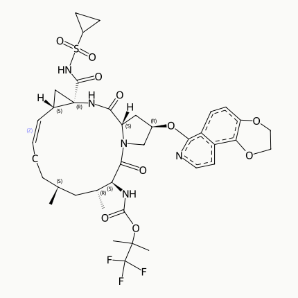 C[C@H]1CC/C=C\[C@@H]2C[C@@]2(C(=O)NS(=O)(=O)C2CC2)NC(=O)[C@@H]2C[C@@H](Oc3nccc4c5c(ccc34)OCCO5)CN2C(=O)[C@@H](NC(=O)OC(C)(C)C(F)(F)F)[C@H](C)C1